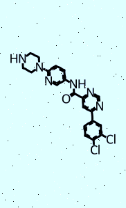 O=C(Nc1ccc(N2CCNCC2)nc1)c1cc(-c2ccc(Cl)c(Cl)c2)ncn1